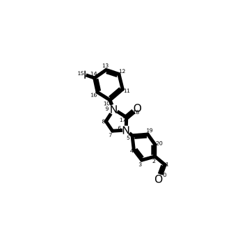 O=Cc1ccc(N2CCN(c3cccc(I)c3)C2=O)cc1